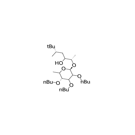 CCCCOC1C(OCCCC)[C@H](OCCCC)C(C)O[C@H]1O[C@@H](C)C(O)C[C@H](C)C(C)(C)C